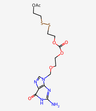 CC(=O)OCCSSCCOC(=O)OCCOCn1cnc2c(=O)[nH]c(N)nc21